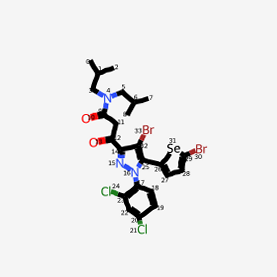 CC(C)CN(CC(C)C)C(=O)CC(=O)c1nn(-c2ccc(Cl)cc2Cl)c(-c2ccc(Br)[se]2)c1Br